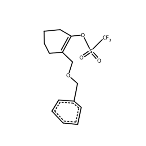 O=S(=O)(OC1=C(COCc2ccccc2)CCCC1)C(F)(F)F